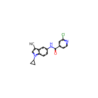 N#Cc1cn(C2CC2)c2ccc(NC(=O)c3ccnc(Cl)c3)cc12